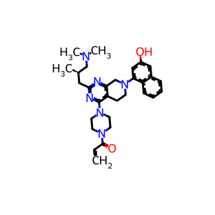 C=CC(=O)N1CCN(c2nc(C[C@@H](C)CN(C)C)nc3c2CCN(c2cc(O)cc4ccccc24)C3)CC1